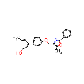 CC=CC(=CCO)c1ccc(OCc2nc(-c3ccccc3)oc2C)cc1